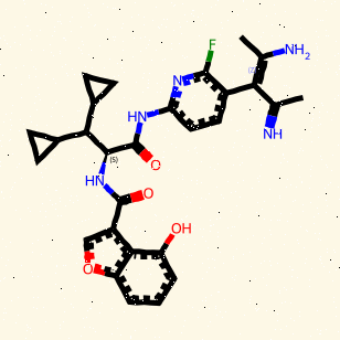 CC(=N)/C(=C(/C)N)c1ccc(NC(=O)[C@@H](NC(=O)c2coc3cccc(O)c23)C(C2CC2)C2CC2)nc1F